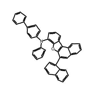 c1ccc(-c2ccc(N(c3ccccc3)c3cccc4c3oc3c(-c5cccc6ccccc56)cc5ccccc5c34)cc2)cc1